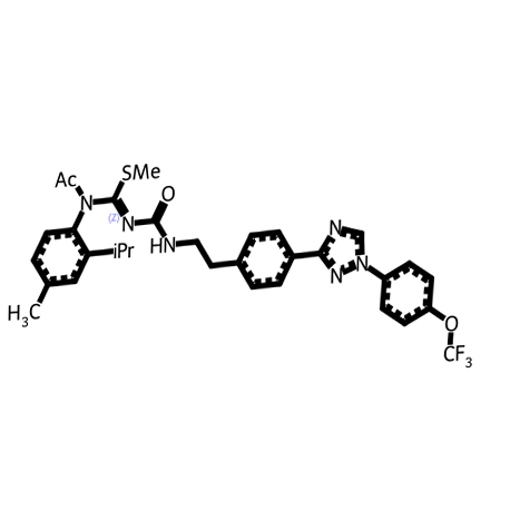 CS/C(=N\C(=O)NCCc1ccc(-c2ncn(-c3ccc(OC(F)(F)F)cc3)n2)cc1)N(C(C)=O)c1ccc(C)cc1C(C)C